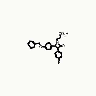 O=C(O)CCN1C(=O)C(c2ccc(F)cc2)C1c1ccc(OCc2ccccc2)cc1